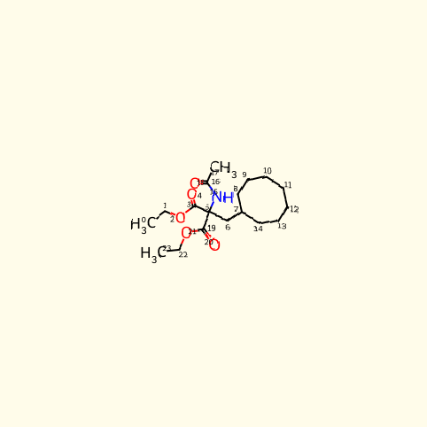 CCOC(=O)C(CC1CCCCCCC1)(NC(C)=O)C(=O)OCC